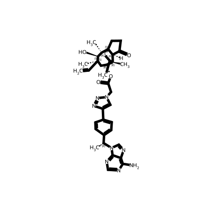 C=C[C@]1(C)C[C@@H](OC(=O)Cn2cc(-c3ccc([C@@H](C)n4cnc5c(N)ncnc54)cc3)nn2)[C@]2(C)C(C)CC[C@]3(CCC(=O)[C@H]32)[C@@H](C)[C@@H]1O